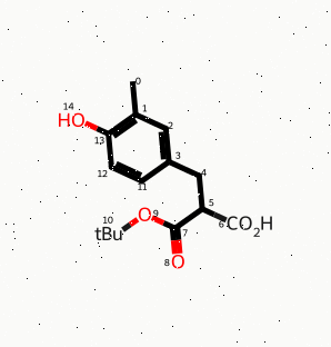 Cc1cc(CC(C(=O)O)C(=O)OC(C)(C)C)ccc1O